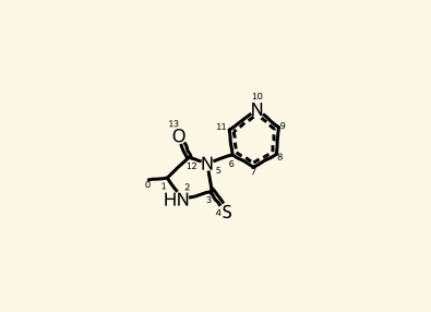 CC1NC(=S)N(c2cccnc2)C1=O